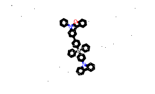 c1ccc(-n2c3ccc(-c4ccc([Si](c5ccccc5)(c5ccccc5)c5ccc(-n6c7ccccc7c7ccccc76)cc5)cc4)cc3c3c4ccccc4oc32)cc1